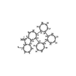 Cc1cccc2c1[nH]c1ccc3c(c12)-c1ccccc1-c1ccccc1-c1ccccc1-3